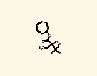 CCC(C)(C(=O)OC1CCCCCC1)C(F)(F)F